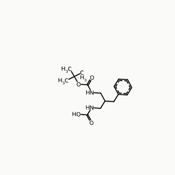 CC(C)(C)OC(=O)NCC(CNC(=O)O)Cc1ccccc1